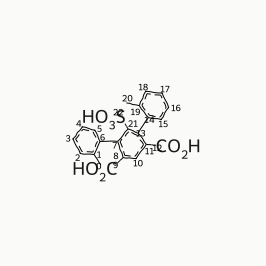 Cc1ccccc1-c1c(C(=O)O)cc(C(=O)O)c(-c2ccccc2C)c1S(=O)(=O)O